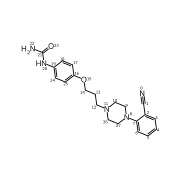 N#Cc1ccccc1N1CCN(CCCOc2ccc(NC(N)=O)cc2)CC1